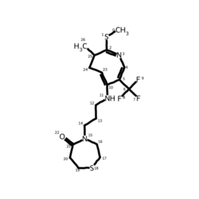 CS/C1=N/C=C(C(F)(F)F)\C(NCCCN2CCSCCC2=O)=C\CC1C